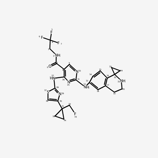 O=C(NCC(F)(F)F)c1cnc(Nc2ccc3c(c2)CCNC32CC2)nc1Nc1nc(C2(CF)CC2)cs1